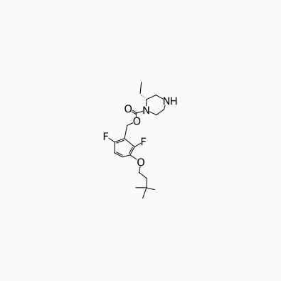 CC[C@@H]1CNCCN1C(=O)OCc1c(F)ccc(OCCC(C)(C)C)c1F